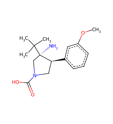 COc1cccc([C@H]2CN(C(=O)O)C[C@@]2(N)C(C)(C)C)c1